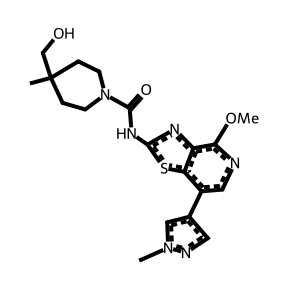 COc1ncc(-c2cnn(C)c2)c2sc(NC(=O)N3CCC(C)(CO)CC3)nc12